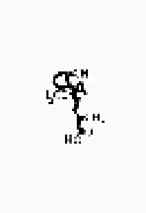 CC1=C(C2(C/C=C/C(C)=C/C(=O)O)CC2)C(C)(C)CCC1